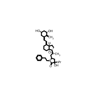 C=C1/C(=C\C=C2/CCC[C@]3(C)[C@@H]([C@H](C)CC4CC(O)(CCC)C(=O)N4CCc4ccccc4)CC[C@@H]23)C[C@@H](O)C[C@@H]1O